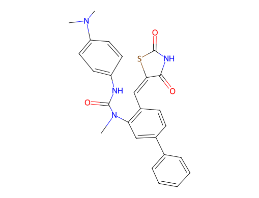 CN(C)c1ccc(NC(=O)N(C)c2cc(-c3ccccc3)ccc2C=C2SC(=O)NC2=O)cc1